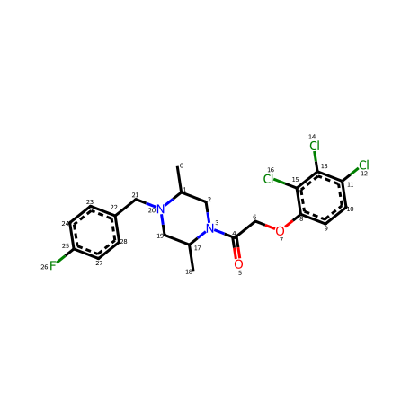 CC1CN(C(=O)COc2ccc(Cl)c(Cl)c2Cl)C(C)CN1Cc1ccc(F)cc1